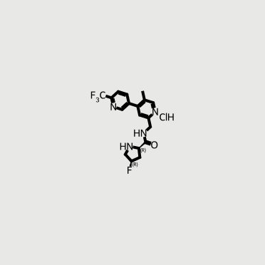 Cc1cnc(CNC(=O)[C@H]2C[C@@H](F)CN2)cc1-c1ccc(C(F)(F)F)nc1.Cl